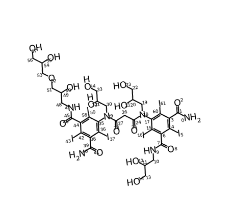 NC(=O)c1c(I)c(C(=O)NCC(O)CO)c(I)c(N(CC(O)CO)C(=O)CC(=O)N(CC(O)CO)c2c(I)c(C(N)=O)c(I)c(C(=O)NCC(O)COCC(O)CO)c2I)c1I